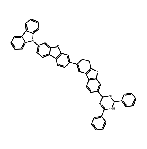 C1=C(c2ccc3c(c2)sc2cc(-n4c5ccccc5c5ccccc54)ccc23)CCc2sc3cc(C4N=C(c5ccccc5)NC(c5ccccc5)N4)ccc3c21